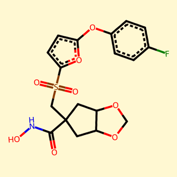 O=C(NO)C1(CS(=O)(=O)c2ccc(Oc3ccc(F)cc3)o2)CC2OCOC2C1